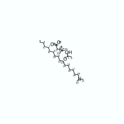 CC(=O)O.CCCCCCCCCCCCCCCCN(C)C.C[N+](C)(C)CC(=O)[O-]